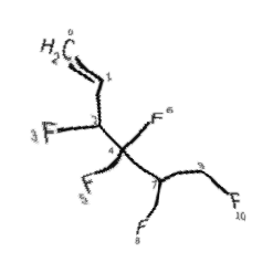 C=CC(F)C(F)(F)C(F)CF